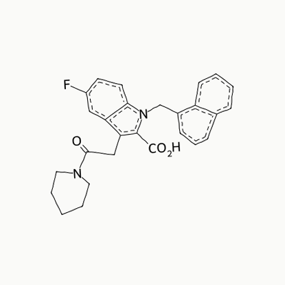 O=C(O)c1c(CC(=O)N2CCCCC2)c2cc(F)ccc2n1Cc1cccc2ccccc12